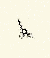 C=CCCOc1ccc(C(=O)NC)c(N)c1